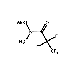 CON(C)C(=O)C(F)(F)C(F)(F)F